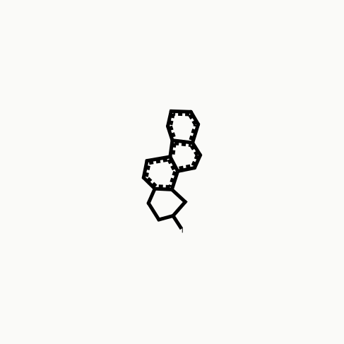 IC1CCc2ccc3c(ccc4ccccc43)c2C1